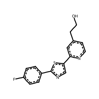 OCCc1ccnc(-c2cnc(-c3ccc(F)cc3)s2)c1